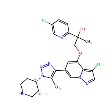 Cc1c(-c2cc(OCC(C)(O)c3ccc(F)cn3)c3c(Cl)cnn3c2)nnn1[C@H]1CCNC[C@H]1F